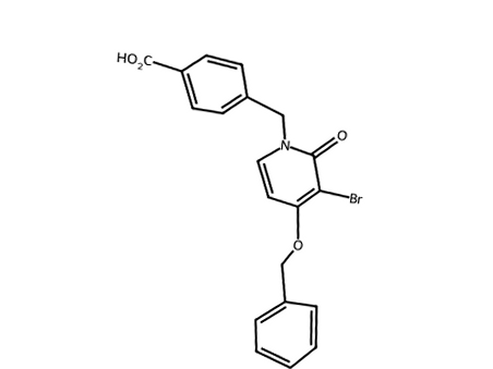 O=C(O)c1ccc(Cn2ccc(OCc3ccccc3)c(Br)c2=O)cc1